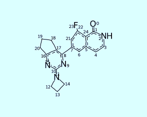 O=c1[nH]ccc2cc(-c3nc(N4CCC4)nc4c3CCC4)cc(F)c12